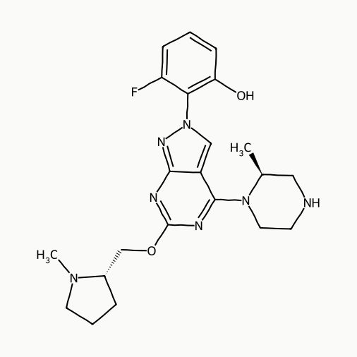 C[C@H]1CNCCN1c1nc(OC[C@@H]2CCCN2C)nc2nn(-c3c(O)cccc3F)cc12